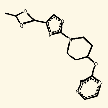 CC1OC(c2coc(N3CCC(Oc4cnccn4)CC3)n2)O1